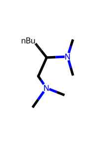 CCCCC(CN(C)C)N(C)C